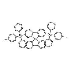 Cc1ccc([Si](c2ccccc2)(c2ccccc2)c2ccc3c(c2)C2(c4ccccc4-c4ccccc42)c2cc([Si](c4ccccc4)(c4ccccc4)c4ccc(C)cc4)ccc2-3)cc1